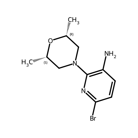 C[C@@H]1CN(c2nc(Br)ccc2N)C[C@H](C)O1